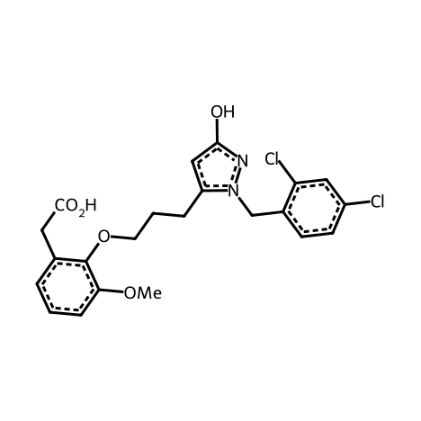 COc1cccc(CC(=O)O)c1OCCCc1cc(O)nn1Cc1ccc(Cl)cc1Cl